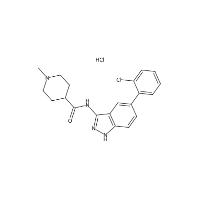 CN1CCC(C(=O)Nc2n[nH]c3ccc(-c4ccccc4Cl)cc23)CC1.Cl